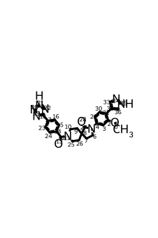 COc1cc(N2CCC3(CCN(C(=O)c4ccc(-c5nn[nH]n5)cc4)CC3)C2=O)ccc1-c1cn[nH]c1